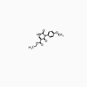 CCOC(=O)c1c[nH]c(=O)n(-c2ccc(OC)cc2)c1=O